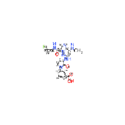 CNc1cc(Nc2cccn(-c3cccc(C(=O)O)c3)c2=O)nn2c(C(=O)N[C@@H]3C[C@@H]3F)cnc12